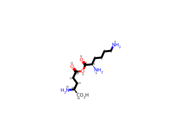 NCCCC[C@H](N)C(=O)OC(=O)CC[C@H](N)C(=O)O